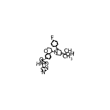 CC(C)(O)[C@H]1CCN(C2CCOc3cc(S(=O)(=O)Nc4ncns4)ccc32)[C@@H](c2ccc(F)cc2)C1